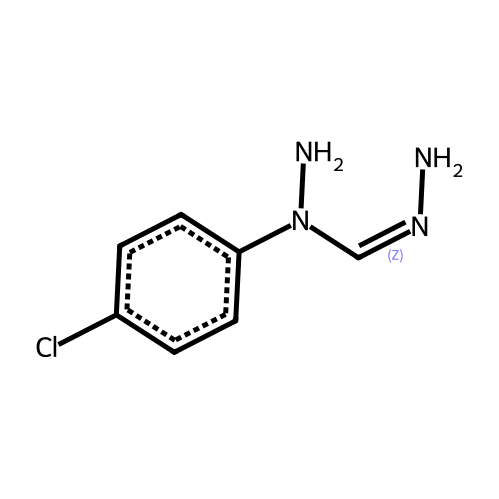 N/N=C\N(N)c1ccc(Cl)cc1